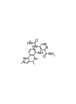 CNC(=O)Nc1cnnc(C(N)=O)c1Nc1nccc2c1N(C)C(C)c1cn(C)nc1-2